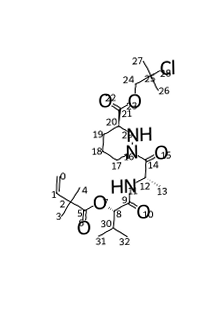 C=CC(C)(C)C(=O)O[C@H](C(=O)N[C@@H](C)C(=O)N1CCC[C@@H](C(=O)OCC(C)(C)Cl)N1)C(C)C